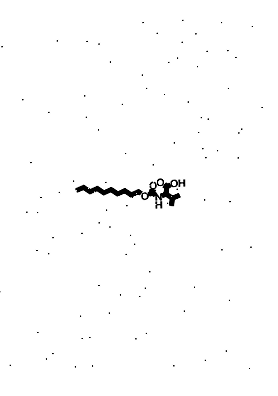 CCCCCCCCCCOC(=O)NC(C(=O)O)C(C)C